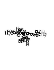 CC(C)c1ccccc1[C@H]1CCCN1C1CC2(CCN(c3ccc(C(=O)NS(=O)(=O)c4cc5c(c([N+](=O)[O-])c4)N[C@@H](C4CCC(C)(O)CC4)CO5)c(Oc4cc5cc[nH]c5nc4O[C@@H]4C[C@@H](CO)N(C)C4)c3)CC2)C1